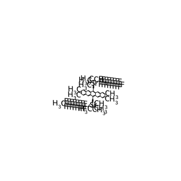 Cc1cc2cc3c(C#C[Si](CCC(F)(F)C(F)(F)C(F)(F)C(F)(F)C(F)(F)C(F)(F)C(F)(F)C(C)(F)F)(C(C)C)C(C)C)c4cc5cc(C)c(C)cc5cc4c(C#C[Si](CCC(F)(F)C(F)(F)C(F)(F)C(F)(F)C(F)(F)C(F)(F)C(F)(F)C(F)(F)F)(C(C)C)C(C)C)c3cc2cc1C